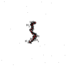 Cc1ncsc1-c1ccc(C(C)NC(=O)C2CCCN2C(=O)C(c2cc(N3CCC(CN4CCC(OC(=O)N5CCN(c6cc(-c7ccccc7O)nnc6N)CC5)C(F)C4)CC3)no2)C(C)C)cc1